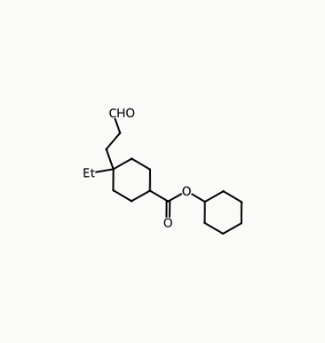 CCC1(CCC=O)CCC(C(=O)OC2CCCCC2)CC1